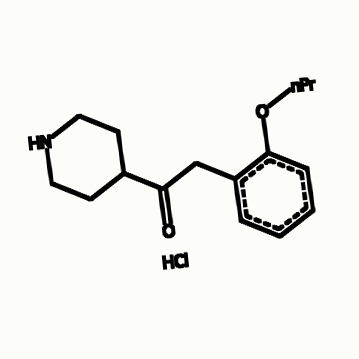 CCCOc1ccccc1CC(=O)C1CCNCC1.Cl